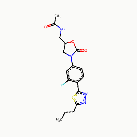 CCCc1nnc(-c2ccc(N3CC(CNC(C)=O)OC3=O)cc2F)s1